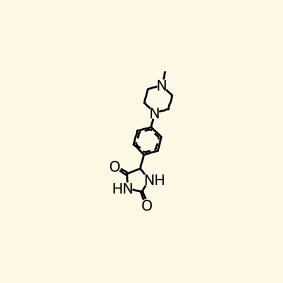 CN1CCN(c2ccc(C3NC(=O)NC3=O)cc2)CC1